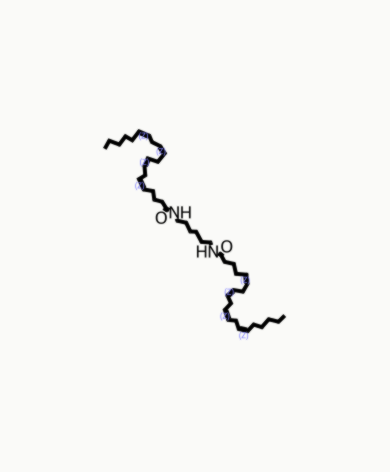 CCCCC/C=C\C/C=C\C/C=C\C/C=C\CCCC(=O)NCCCCCCNC(=O)CCC/C=C\C/C=C\C/C=C\C/C=C\CCCCC